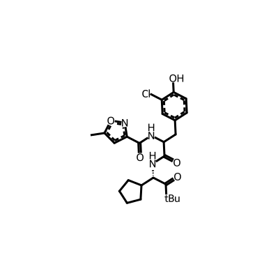 Cc1cc(C(=O)NC(Cc2ccc(O)c(Cl)c2)C(=O)N[C@H](C(=O)C(C)(C)C)C2CCCC2)no1